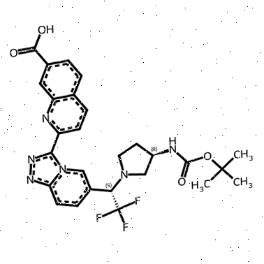 CC(C)(C)OC(=O)N[C@@H]1CCN([C@@H](c2ccc3nnc(-c4ccc5ccc(C(=O)O)cc5n4)n3c2)C(F)(F)F)C1